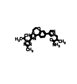 Cc1nc(-c2cn3c(n2)-c2ccc(-c4cnn(CC(C)C(N)=O)c4)cc2OCC3)n(C(C)C)n1